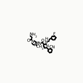 CN1CCN(C(=O)CCN)C[C@@H]1CNC(=O)c1ccc(-c2ccccc2C#N)nc1NCCc1cccc(F)c1